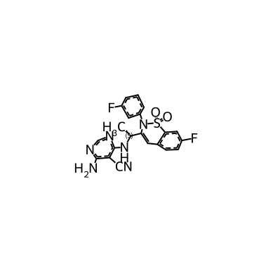 C[C@H](Nc1ncnc(N)c1C#N)C1=Cc2ccc(F)cc2S(=O)(=O)N1c1cccc(F)c1